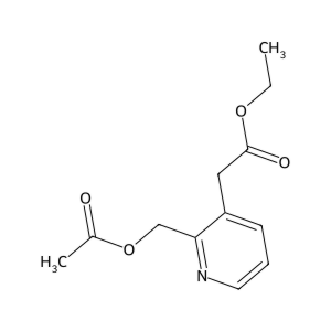 CCOC(=O)Cc1cccnc1COC(C)=O